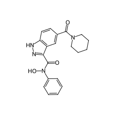 O=C(c1ccc2[nH]nc(C(=O)N(O)c3ccccc3)c2c1)N1CCCCC1